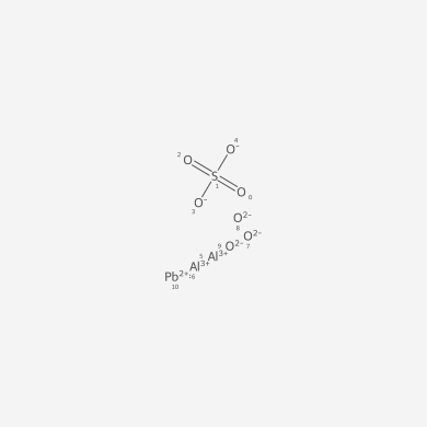 O=S(=O)([O-])[O-].[Al+3].[Al+3].[O-2].[O-2].[O-2].[Pb+2]